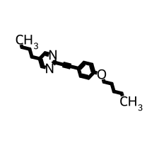 CCCCCOc1ccc(C#Cc2ncc(CCCC)cn2)cc1